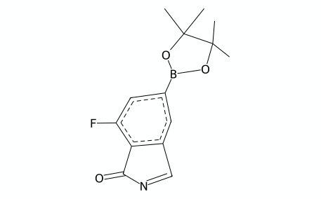 CC1(C)OB(c2cc(F)c3c(c2)C=NC3=O)OC1(C)C